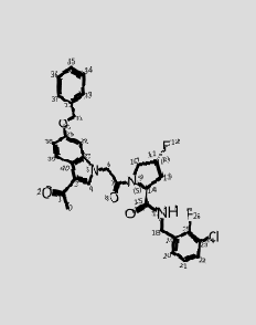 CC(=O)c1cn(CC(=O)N2C[C@H](F)C[C@H]2C(=O)NCc2cccc(Cl)c2F)c2cc(OCc3ccccc3)ccc12